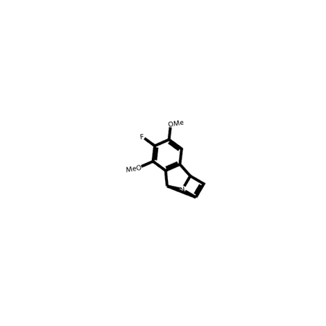 COc1cc2c(c(OC)c1F)C1C3=CC2N31